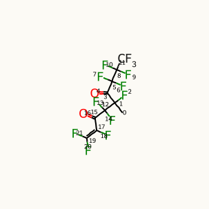 CC(F)(C(=O)C(F)(F)C(F)(F)C(F)(F)F)C(F)(F)C(=O)C(F)=C(F)F